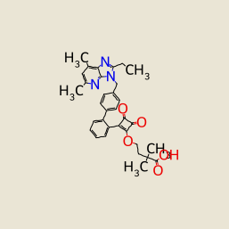 CCc1nc2c(C)cc(C)nc2n1Cc1ccc(-c2ccccc2-c2c(OCCC(C)(C)C(=O)O)c(=O)c2=O)cc1